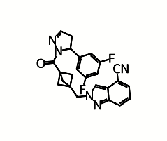 N#Cc1cccc2nn(CC34CC(C(=O)N5N=CCC5c5cc(F)cc(F)c5)(C3)C4)cc12